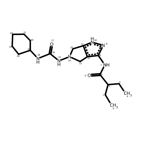 CCC(CC)C(=O)Nc1n[nH]c2c1CN(NC(=O)NC1CCCCC1)C2